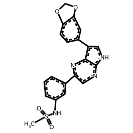 CS(=O)(=O)Nc1cccc(-c2cnc3[nH]cc(-c4ccc5c(c4)OCO5)c3n2)c1